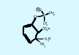 CC1(C(=O)O)C=CC=C(O[Si](C)(C)C(C)(C)C)C1C(=O)O